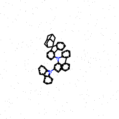 c1ccc(-c2ccccc2N(c2cccc(-n3c4ccccc4c4ccccc43)c2)c2cccc3c2-c2ccccc2C32C3CC4CC(C3)CC2C4)cc1